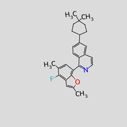 Cc1cc2c(F)c(C)cc(-c3nccc4cc(C5CCC(C)(C)CC5)ccc34)c2o1